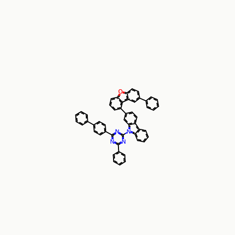 c1ccc(-c2ccc(-c3nc(-c4ccccc4)nc(-n4c5ccccc5c5ccc(-c6cccc7oc8ccc(-c9ccccc9)cc8c67)cc54)n3)cc2)cc1